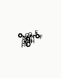 O=C(NCc1ccc(F)cc1F)c1cn2c(c(OCc3ccccc3)c1=O)C(=O)N1C[C@@H]2CC=C[C@@H]1CF